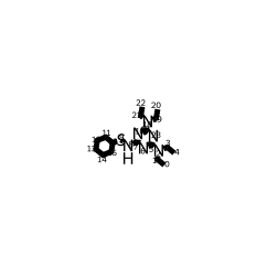 CCN(CC)c1nc(NSC2CCCCC2)nc(N(CC)CC)n1